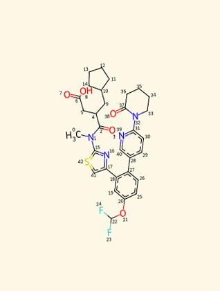 CN(C(=O)C(CC(=O)O)CC1CCCC1)c1nc(-c2cc(OC(F)F)ccc2-c2ccc(N3CCCCC3=O)nc2)cs1